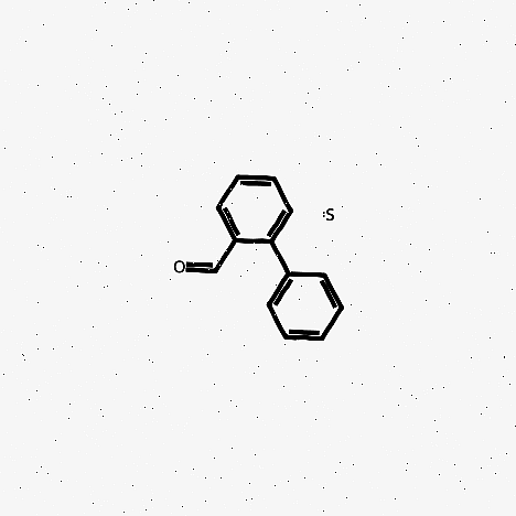 O=Cc1ccccc1-c1ccccc1.[S]